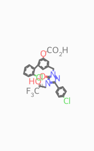 O=C(O)Oc1cc(Cn2nc(-c3ccc(Cl)cc3)n(C[C@H](O)C(F)(F)F)c2=O)cc(-c2ccccc2Cl)c1